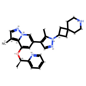 Cc1c(-c2cc(O[C@H](C)c3ccccn3)c3c(C#N)cnn3c2)cnn1C1CC2(CCNCC2)C1